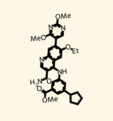 CCOc1cc2c(Nc3cc(C(=O)OC)cc(C4CCCC4)c3)c(C(N)=O)cnc2cc1-c1cnc(OC)nc1OC